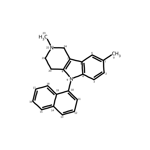 Cc1ccc2c(c1)c1c(n2-c2cccc3ccccc23)CCN(C)C1